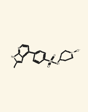 Cc1cc2c(-c3ccc(S(=O)(=O)NC4CC[S+]([O-])CC4)cc3)ccnc2[nH]1